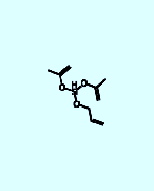 C=CCO[SiH](OC(=C)C)OC(=C)C